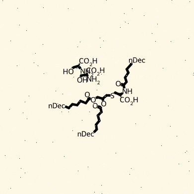 CCCCCCCCCCCCCCCC(=O)N[C@@H](CSCC(COC(=O)CCCCCCCCCCCCCCC)OC(=O)CCCCCCCCCCCCCCC)C(=O)O.N[C@@H](CO)C(=O)O.N[C@@H](CO)C(=O)O